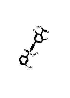 CCOP(=O)(C#Cc1cc(Cl)c(C(=O)OC)c(Cl)c1)c1cccc(OC)c1